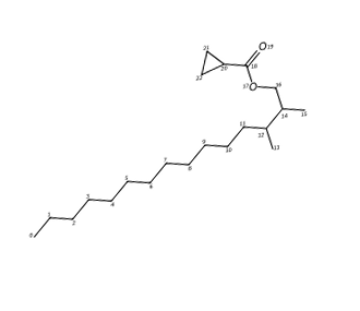 CCCCCCCCCCCCC(C)C(C)COC(=O)C1CC1